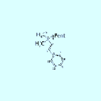 CCCCCC(C)(C)C=Cc1ccccc1